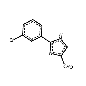 O=Cc1c[nH]c(-c2cccc(Cl)c2)n1